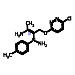 C/C(N)=C(\COc1ccc(Cl)nn1)N(N)c1ccc(C)cc1